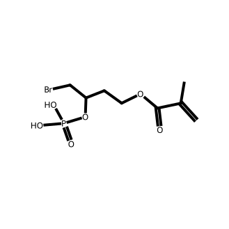 C=C(C)C(=O)OCCC(CBr)OP(=O)(O)O